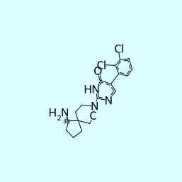 N[C@@H]1CCCC12CCN(c1ncc(-c3cccc(Cl)c3Cl)c(=O)[nH]1)CC2